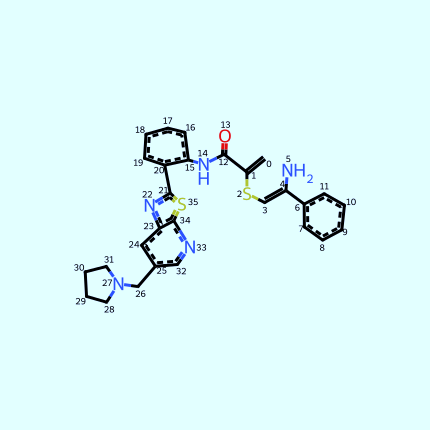 C=C(S/C=C(\N)c1ccccc1)C(=O)Nc1ccccc1-c1nc2cc(CN3CCCC3)cnc2s1